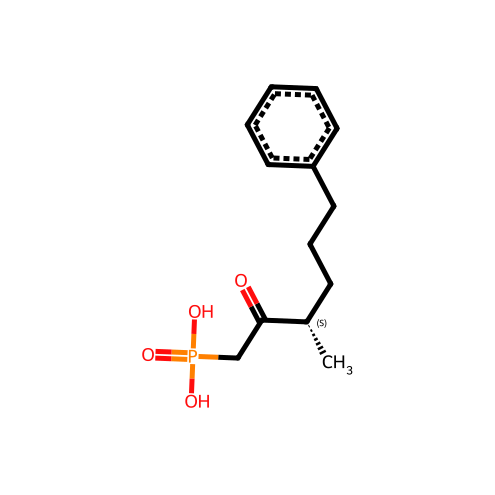 C[C@@H](CCCc1ccccc1)C(=O)CP(=O)(O)O